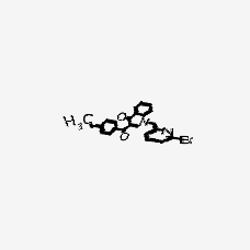 CCc1ccc(C(=O)c2cn(Cc3cccc(Br)n3)c3ccccc3c2=O)cc1